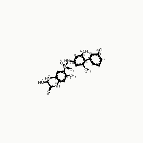 Cc1cc2c(cc1S(=O)(=O)Nc1cc(C)c(-c3cccc(Cl)c3)c(C)c1)NC(O)C(=O)N2